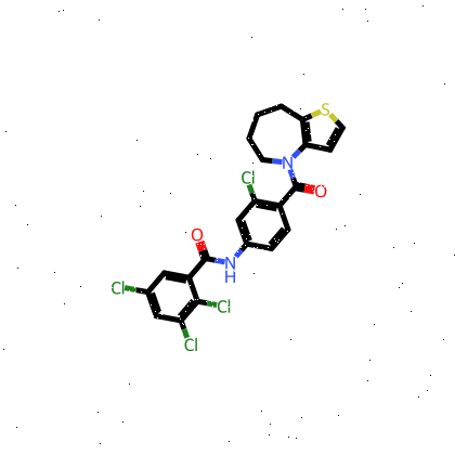 O=C(Nc1ccc(C(=O)N2CCCCc3sccc32)c(Cl)c1)c1cc(Cl)cc(Cl)c1Cl